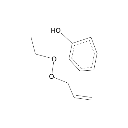 C=CCOOCC.Oc1ccccc1